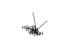 CCCCCCCCCCCCCCCCCC(=O)N(CCCCCCCCCCCCCC)[C@@H]1O[C@H](CO)[C@H](O)[C@H](O)[C@@H]1NC(=O)CNC(=O)CCC(=O)O